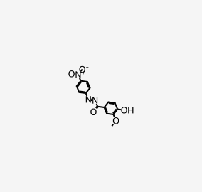 COc1cc(C(=O)N=Nc2ccc([N+](=O)[O-])cc2)ccc1O